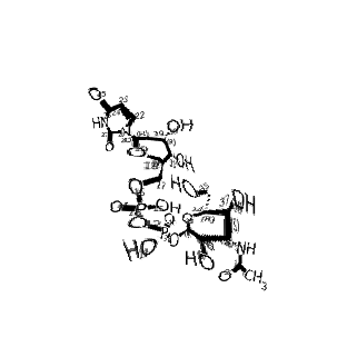 CC(=O)N[C@@H]1[C@@H](O)[C@@H](OP(=O)(O)OP(=O)(O)OC[C@H]2O[C@@H](n3ccc(=O)[nH]c3=O)[C@H](O)[C@@H]2O)O[C@H](CO)[C@H]1O